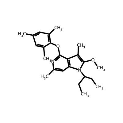 CCC(CC)n1c(OC)c(C)c2c(Oc3c(C)cc(C)cc3C)nc(C)cc21